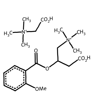 COc1ccccc1C(=O)OC(CC(=O)O)C[N+](C)(C)C.C[N+](C)(C)CC(=O)O